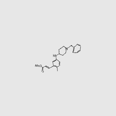 COC(=O)/C=C/c1cc(NC2CCN(Cc3ccccc3)CC2)ccc1C